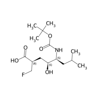 CC(C)C[C@H](NC(=O)OC(C)(C)C)[C@@H](O)C[C@@H](CF)C(=O)O